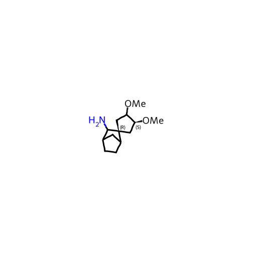 COC1C[C@@]2(C[C@@H]1OC)C1CCC(C1)C2N